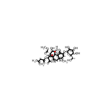 COC(=O)[C@@]12OC[C@]34[C@H]([C@@H](O)[C@@H]1O)[C@@]1(C)C(=O)C(O[C@@H]5O[C@H](CO)[C@@H](O)[C@H](O)[C@H]5O)=C[C@@H](C)[C@@H]1C[C@H]3OC(=O)[C@H](OC(=O)CC(C)C)[C@@H]24